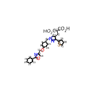 O=C(O)C(Cc1cn(Cc2ccc(OCc3coc(-c4ccccc4)n3)cc2)nc1-c1cccs1)C(=O)O